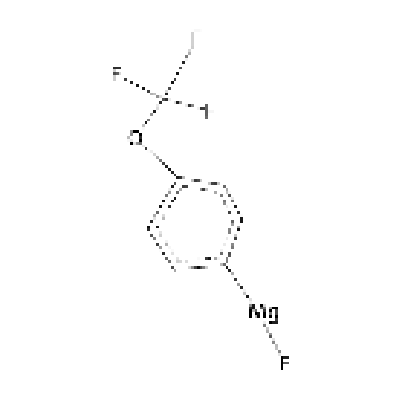 [F][Mg][c]1ccc(OC(F)(F)F)cc1